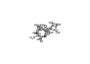 CC(O)[C@H](NC(=O)[C@@H]1CSSC[C@H](NC(=O)[C@@H](Cc2ccccc2)NC(=O)CN2CCN(CC(=O)O)CCN(CC(=O)O)CCN(CC(=O)O)CC2)C(=O)NC(Cc2ccc(O)cc2)C(=O)N[C@H](Cc2c[nH]c3ccccc23)C(=O)N[C@@H](CCCCN)C(=O)N[C@@H](C(C)O)C(=O)N1)C(=O)O